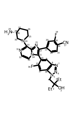 CCC(O)(CC)Cn1nnc2cc(-c3c(-c4ccc(C#N)c(F)c4)nc4c(N5CCC[C@@H](N)C5)nccn34)c(F)cc21